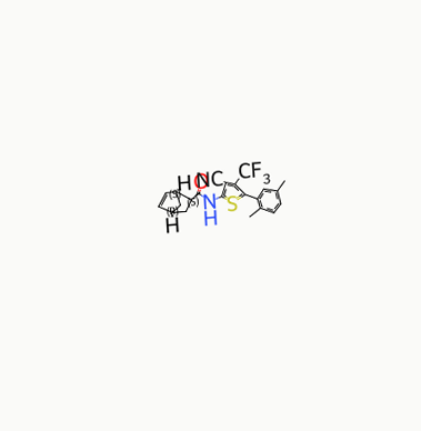 Cc1ccc(C)c(-c2sc(NC(=O)[C@H]3C[C@@H]4C=C[C@@H]3C4)c(C#N)c2C(F)(F)F)c1